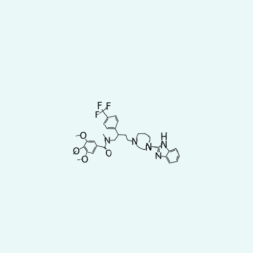 COc1cc(C(=O)N(C)CC(CCN2CCCN(c3nc4ccccc4[nH]3)CC2)c2ccc(C(F)(F)F)cc2)cc(OC)c1OC